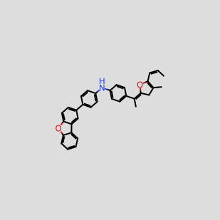 C/C=C\C1=C(C)C/C(=C(\C)c2ccc(Nc3ccc(-c4ccc5oc6ccccc6c5c4)cc3)cc2)O1